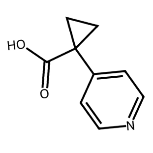 O=C(O)C1(c2ccncc2)CC1